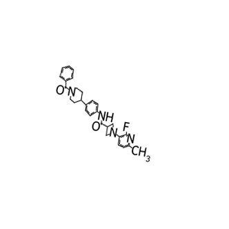 Cc1ccc(N2CC(C(=O)Nc3ccc(C4CCN(C(=O)c5ccccc5)CC4)cc3)C2)c(F)n1